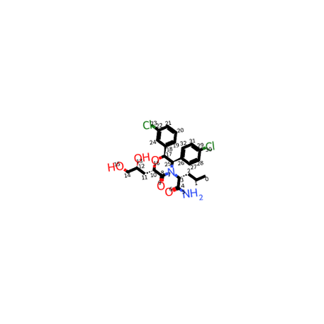 CCC[C@H](C(N)=O)N1C(=O)[C@H](C[C@@H](O)CO)O[C@@H](c2cccc(Cl)c2)[C@H]1c1ccc(Cl)cc1